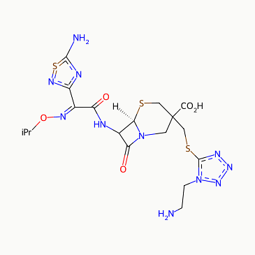 CC(C)ON=C(C(=O)NC1C(=O)N2CC(CSc3nnnn3CCN)(C(=O)O)CS[C@H]12)c1nsc(N)n1